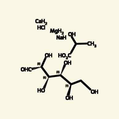 CC(O)C(=O)O.Cl.O=C[C@H](O)[C@@H](O)[C@H](O)[C@H](O)CO.[CaH2].[MgH2].[NaH]